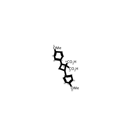 COc1ccc(C2CC(c3ccc(OC)cc3)C2(C(=O)O)C(=O)O)cc1